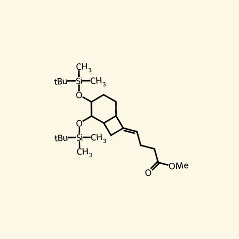 COC(=O)CCC=C1CC2C1CCC(O[Si](C)(C)C(C)(C)C)C2O[Si](C)(C)C(C)(C)C